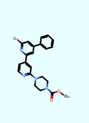 CC(C)(C)OC(=O)N1CCN(c2cc(-c3cc(-c4ccccc4)cc(Br)n3)ccn2)CC1